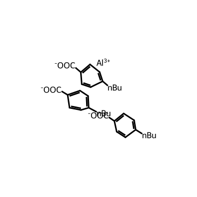 CCCCc1ccc(C(=O)[O-])cc1.CCCCc1ccc(C(=O)[O-])cc1.CCCCc1ccc(C(=O)[O-])cc1.[Al+3]